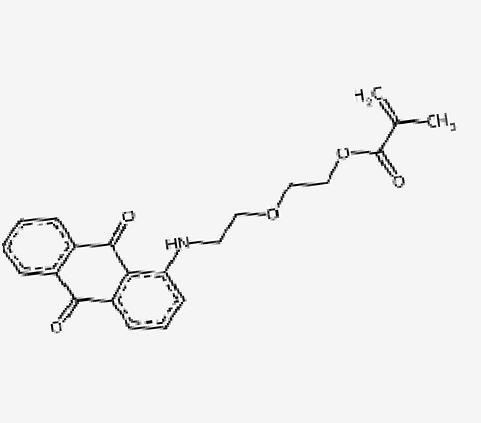 C=C(C)C(=O)OCCOCCNc1cccc2c1C(=O)c1ccccc1C2=O